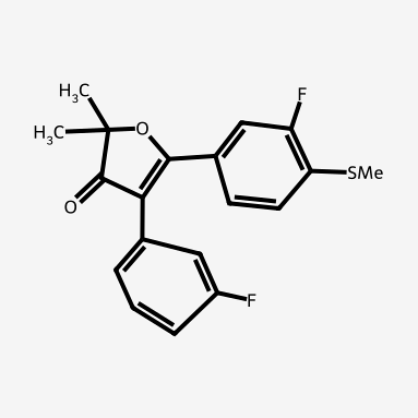 CSc1ccc(C2=C(c3cccc(F)c3)C(=O)C(C)(C)O2)cc1F